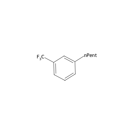 CCC[CH]Cc1cccc(C(F)(F)F)c1